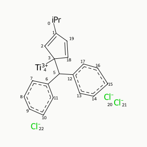 CC(C)C1=C[C]([Ti+3])(C(c2ccccc2)c2ccccc2)C=C1.[Cl-].[Cl-].[Cl-]